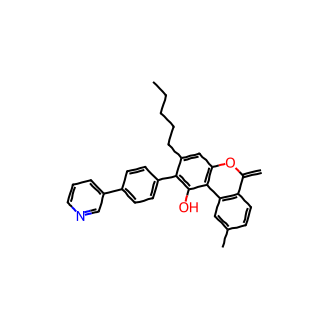 C=C1Oc2cc(CCCCC)c(-c3ccc(-c4cccnc4)cc3)c(O)c2-c2cc(C)ccc21